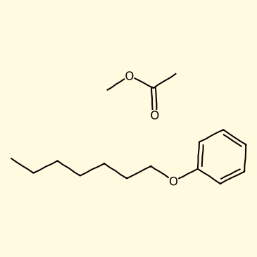 CCCCCCCOc1ccccc1.COC(C)=O